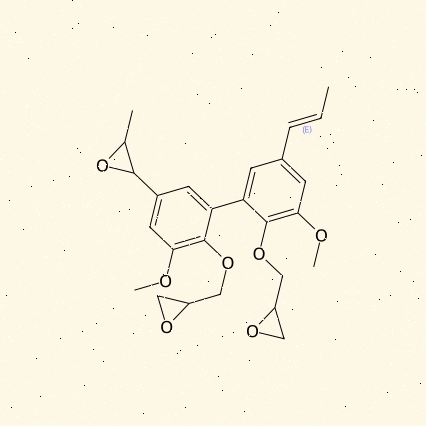 C/C=C/c1cc(OC)c(OCC2CO2)c(-c2cc(C3OC3C)cc(OC)c2OCC2CO2)c1